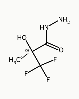 C[C@](O)(C(=O)NN)C(F)(F)F